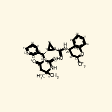 CC1(C)CC(=O)N(C(c2cccnc2)[C@@H]2C[C@H]2C(=O)N[C@H]2C[C@H](C(F)(F)F)Oc3ccccc32)C(=N)N1